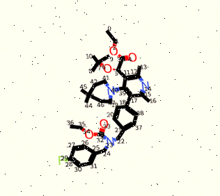 CCOC(=O)[C@@H](OC(C)(C)C)c1c(C)nc(C)c(-c2ccc(CN(Cc3ccc(F)cc3)C(=O)OCC)cc2)c1N1CCC(C)(C)CC1